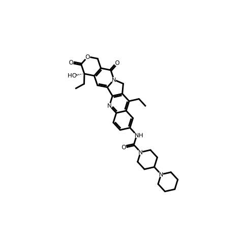 CCc1c2c(nc3ccc(NC(=O)N4CCC(N5CCCCC5)CC4)cc13)-c1cc3c(c(=O)n1C2)COC(=O)[C@]3(O)CC